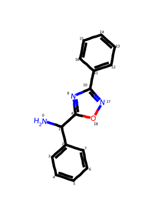 NC(c1ccccc1)c1nc(-c2ccccc2)no1